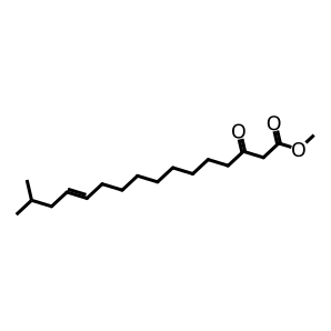 COC(=O)CC(=O)CCCCCCCC/C=C/CC(C)C